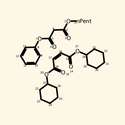 CCCCCOC(=O)CC(=O)Oc1ccccc1.O=C(/C=C\C(=O)OC1CCCCC1)OC1CCCCC1